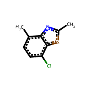 Cc1nc2c(C)ccc(Cl)c2s1